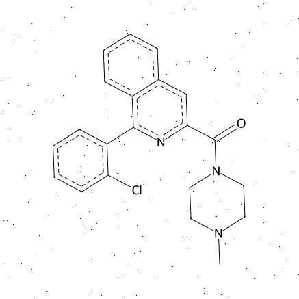 CN1CCN(C(=O)c2cc3ccccc3c(-c3ccccc3Cl)n2)CC1